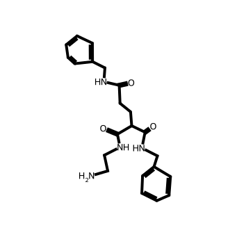 NCCNC(=O)C(CCC(=O)NCc1ccccc1)C(=O)NCc1ccccc1